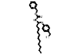 CCCCCCCCCCC(NC(=O)OCc1ccccc1)Oc1ccc(CO)cc1